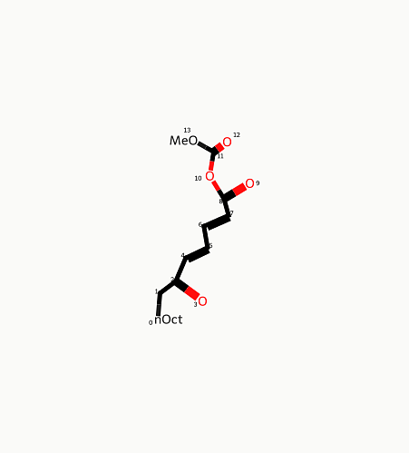 CCCCCCCCCC(=O)C=CC=CC(=O)OC(=O)OC